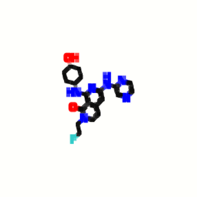 O=c1c2c(N[C@H]3CC[C@@H](O)CC3)nc(Nc3cnccn3)cc2ccn1CCF